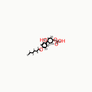 CCCCCCOc1ccc(C2(O)CCC(OC(=O)O)CC2)cc1